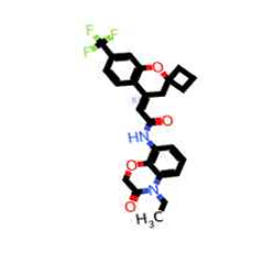 CCN1C(=O)COc2c(NC(=O)/C=C3\CC4(CCC4)Oc4cc(C(F)(F)F)ccc43)cccc21